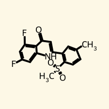 Cc1ccc(S(C)(=O)=O)c(-c2cc(=O)c3c(F)cc(F)cc3[nH]2)c1